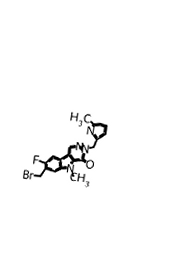 Cc1cccc(Cn2ncc3c4cc(F)c(CBr)cc4n(C)c3c2=O)n1